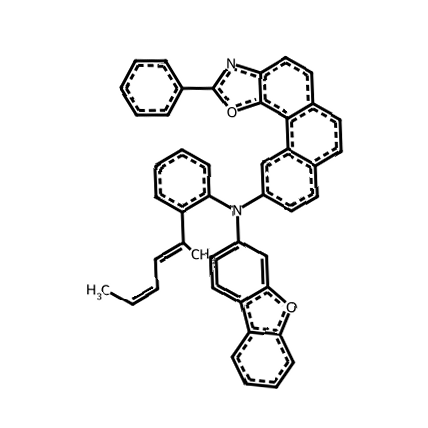 C/C=C\C=C(/C)c1ccccc1N(C1=C=C=c2c(oc3ccccc23)=C1)c1ccc2ccc3ccc4nc(-c5ccccc5)oc4c3c2c1